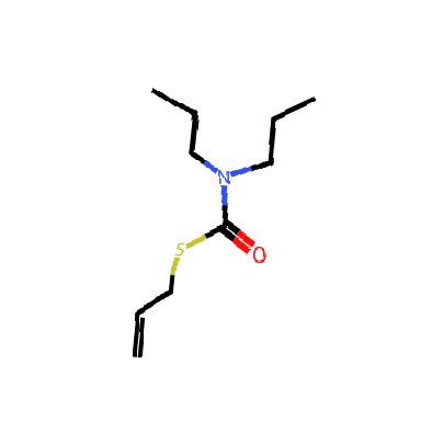 C=CCSC(=O)N(CCC)CCC